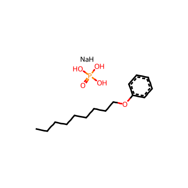 CCCCCCCCCOc1ccccc1.O=P(O)(O)O.[NaH]